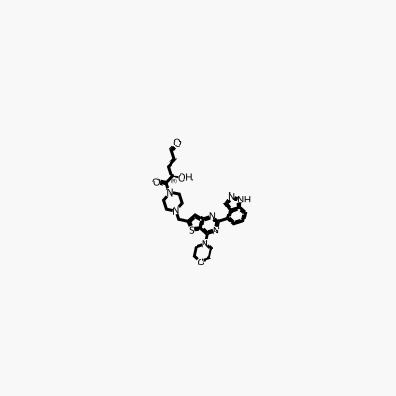 O=CCC[C@@H](O)C(=O)N1CCN(Cc2cc3nc(-c4cccc5[nH]ncc45)nc(N4CCOCC4)c3s2)CC1